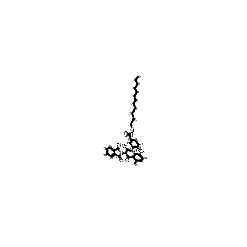 CCCCCCCCCCCCOC(=O)c1ccc(Cl)c(NC(=O)C(C(=O)c2ccccc2C)N2C(=O)c3ccccc3C2=O)c1